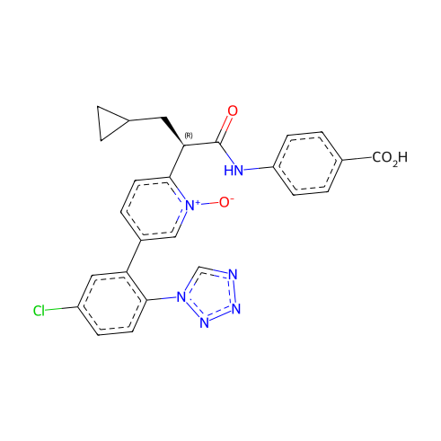 O=C(O)c1ccc(NC(=O)[C@H](CC2CC2)c2ccc(-c3cc(Cl)ccc3-n3cnnn3)c[n+]2[O-])cc1